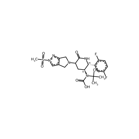 CC(C)(C)N(C(=O)O)[C@H]1CC(N2Cc3cn(S(C)(=O)=O)nc3C2)C(=O)N[C@@H]1c1cc(F)ccc1F